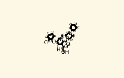 O=C(NO)[C@H]1C[C@H](Oc2ccccc2Cl)CN(C(=O)O)[C@@H]1C(=O)N1CCN(c2ccccc2)CC1